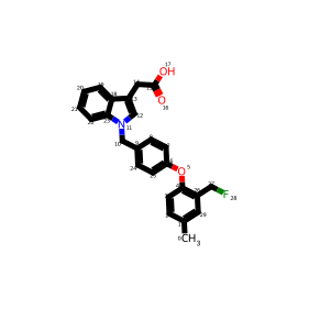 Cc1ccc(Oc2ccc(Cn3cc(CC(=O)O)c4ccccc43)cc2)c(CF)c1